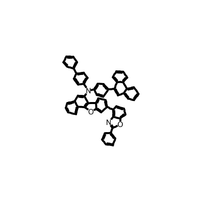 c1ccc(-c2ccc(N(c3ccc(-c4cc5ccccc5c5ccccc45)cc3)c3cc4ccccc4c4oc5cc(-c6cccc7oc(-c8ccccc8)nc67)ccc5c34)cc2)cc1